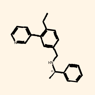 CCc1ccc(CN[C@H](C)c2ccccc2)cc1-c1cccnc1